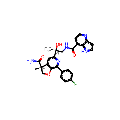 C[C@]1(C(N)=O)COc2c1cc([C@@](O)(CNC(=O)c1ccnc3cc[nH]c13)C(F)(F)F)nc2-c1ccc(F)cc1